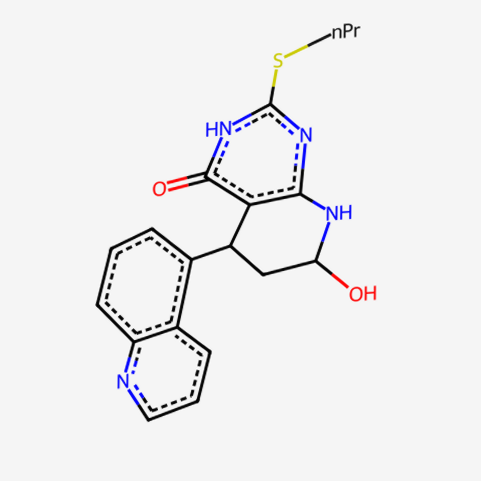 CCCSc1nc2c(c(=O)[nH]1)C(c1cccc3ncccc13)CC(O)N2